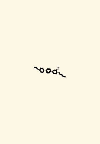 CCCCC[C@@H]1CC[C@@H](c2ccc([C@H]3CC[C@H](CCC)CC3)cc2)CC1=O